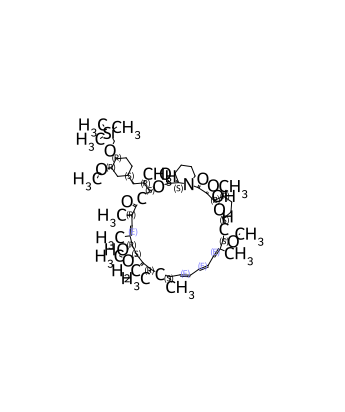 C=C1[C@H](C)C[C@H](C)/C=C/C=C/C=C(\C)[C@@H](OC)C[C@@H]2CC[C@@H](C)[C@@](O)(O2)C(=O)C(=O)N2CCCC[C@H]2C(=O)O[C@H]([C@H](C)C[C@@H]2CC[C@@H](OC[Si](C)(C)C)[C@H](OC)C2)CC(=O)[C@H](C)/C=C(\C)[C@@H](O)[C@H]1OC